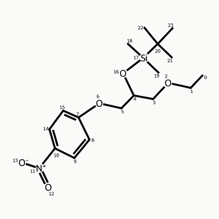 CCOCC(COc1ccc([N+](=O)[O-])cc1)O[Si](C)(C)C(C)(C)C